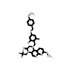 COc1ccc(CSc2cc(F)c(CN3CC(=O)N(CC(F)(F)F)c4cnc5nc(OC)ccc5c43)c(F)c2)cc1